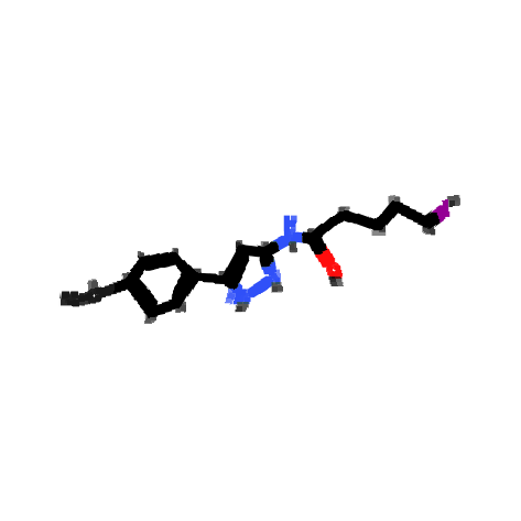 COc1ccc(-c2cc(NC(=O)CCCCI)n[nH]2)cc1